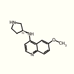 COc1ccc2nccc(N[C@H]3CCNC3)c2c1